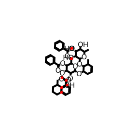 CC1C=CCC(OC2OC(COC(=O)c3ccccc3)C(OC(=O)c3ccccc3)C(O[C@@H](CC3CCCCC3)C(=O)O)C2OC(=O)c2ccccc2)C1OC1OC(C)C(O)C(O)C1O